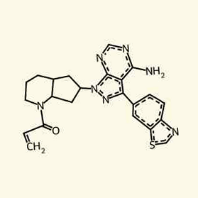 C=CC(=O)N1CCCC2CC(n3nc(-c4ccc5ncsc5c4)c4c(N)ncnc43)CC21